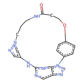 O=C1CCOc2ccc(cc2)-n2nnc3cnc(nc32)Nc2cnn(c2)CCCN1